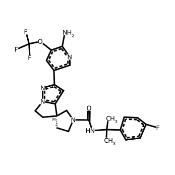 CC(C)(NC(=O)N1CC[C@@]2(CCn3nc(-c4cnc(N)c(OC(F)(F)F)c4)cc32)C1)c1ccc(F)cc1